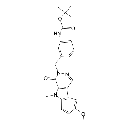 COc1ccc2c(c1)c1cnn(Cc3cccc(NC(=O)OC(C)(C)C)c3)c(=O)c1n2C